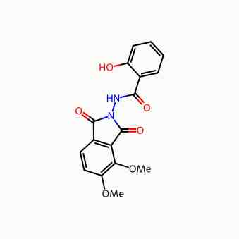 COc1ccc2c(c1OC)C(=O)N(NC(=O)c1ccccc1O)C2=O